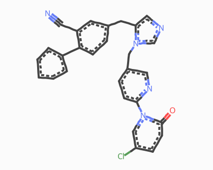 N#Cc1cc(Cc2cncn2Cc2ccc(-n3cc(Cl)ccc3=O)nc2)ccc1-c1ccccc1